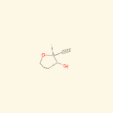 C#CC1(C)OCCC1O